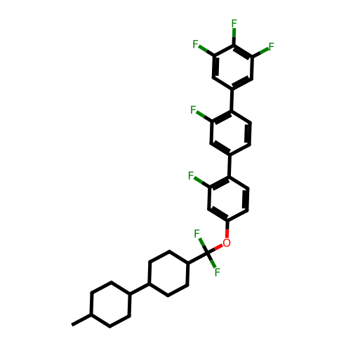 CC1CCC(C2CCC(C(F)(F)Oc3ccc(-c4ccc(-c5cc(F)c(F)c(F)c5)c(F)c4)c(F)c3)CC2)CC1